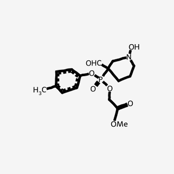 COC(=O)COP(=O)(Oc1ccc(C)cc1)C1(C=O)CCCN(O)C1